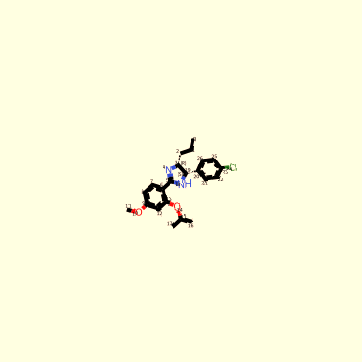 CCC[C@H]1N=C(c2ccc(OC)cc2OC(C)C)N[C@H]1c1ccc(Cl)cc1